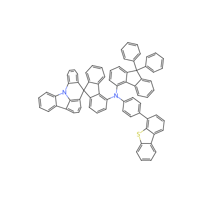 c1ccc(C2(c3ccccc3)c3ccccc3-c3c(N(c4ccc(-c5cccc6c5sc5ccccc56)cc4)c4cccc5c4-c4ccccc4C54c5ccccc5-n5c6ccccc6c6cccc4c65)cccc32)cc1